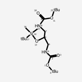 CC(C)(C)OC(=O)NCC(CNC(=O)OC(C)(C)C)O[Si](C)(C)C(C)(C)C